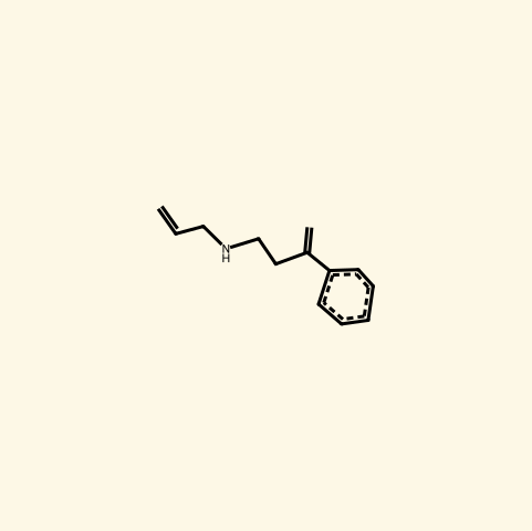 C=CCNCCC(=C)c1ccccc1